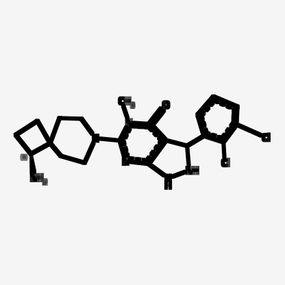 Cn1c(N2CCC3(CC[C@@H]3N)CC2)nc2c(c1=O)C(c1cccc(Cl)c1Cl)NN2